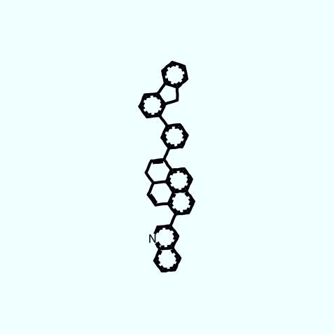 C1=CC2CC=C(c3cccc(-c4cccc5c4Cc4ccccc4-5)c3)c3ccc4ccc(-c5cnc6ccccc6c5)c1c4c32